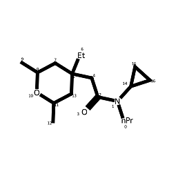 CCCN(C(=O)CC1(CC)CC(C)OC(C)C1)C1CC1